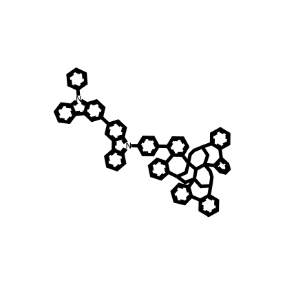 c1ccc(-n2c3ccccc3c3cc(-c4ccc5c(c4)c4ccccc4n5-c4ccc(-c5cccc6c5-c5ccccc5C5CC78CC(CCC9%10CC(CCC6(C5)C97)c5ccccc5-c5ccccc5%10)c5ccccc5-c5ccccc58)cc4)ccc32)cc1